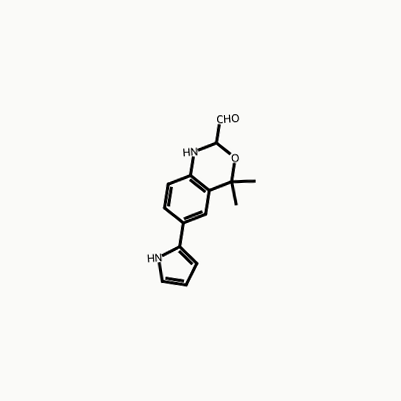 CC1(C)OC(C=O)Nc2ccc(-c3ccc[nH]3)cc21